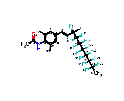 Cc1cc(/C=C/C(C)(F)C(F)(F)C(F)(F)C(F)(F)C(F)(F)C(F)(F)C(F)(F)C(F)(F)F)cc(C)c1NC(=O)C(F)(F)F